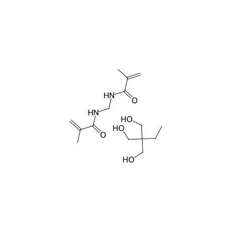 C=C(C)C(=O)NCNC(=O)C(=C)C.CCC(CO)(CO)CO